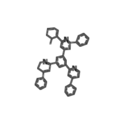 CC1CC=CC=C1c1cc(-c2cc(C3=NCCC(c4ccccc4)=C3)cc(-c3cc(-c4ccccc4)ccn3)c2)cc(-c2ccccc2)n1